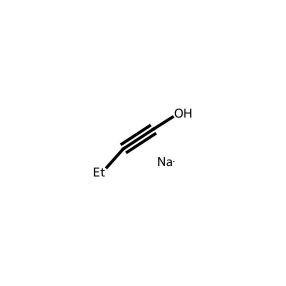 CCC#CO.[Na]